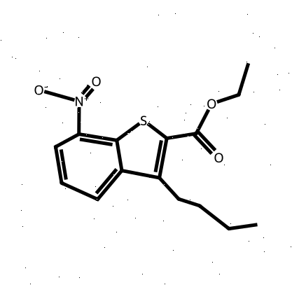 CCCCc1c(C(=O)OCC)sc2c([N+](=O)[O-])cccc12